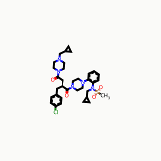 CS(=O)(=O)N(CC1CC1)c1ccccc1N1CCN(C(=O)[C@H](CC(=O)N2CCN(CC3CC3)CC2)Cc2ccc(Cl)cc2)CC1